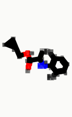 CCc1cccc(CC)c1NC(C)C(=O)OCC1CC1